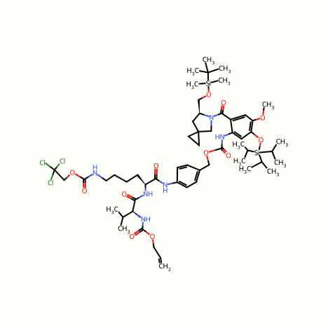 C=CCOC(=O)N[C@H](C(=O)N[C@@H](CCCCNC(=O)OCC(Cl)(Cl)Cl)C(=O)Nc1ccc(COC(=O)Nc2cc(O[Si](C(C)C)(C(C)C)C(C)C)c(OC)cc2C(=O)N2CC3(CC3)C[C@H]2CO[Si](C)(C)C(C)(C)C)cc1)C(C)C